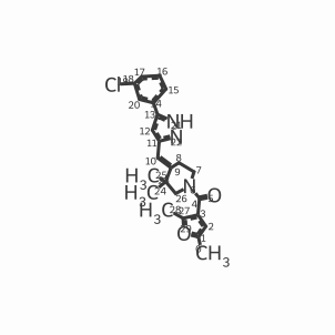 Cc1cc(C(=O)N2CC/C(=C\c3cc(-c4cccc(Cl)c4)[nH]n3)C(C)(C)C2)c(C)o1